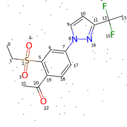 CCS(=O)(=O)c1cc(-n2ccc(C(C)(F)F)n2)ccc1C(C)=O